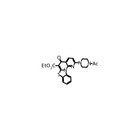 CCOC(=O)c1c(=O)c2ccc(N3CCN(C(C)=O)CC3)nc2n2c1sc1ccccc12